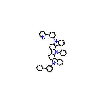 c1ccc(-c2cccc(-n3c4ccccc4c4c3ccc3c5ccc6c(c7ccccc7n6-c6cccc(-c7ccccn7)c6)c5n(-c5ccccc5)c34)c2)cc1